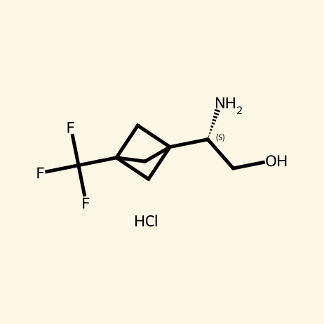 Cl.N[C@H](CO)C12CC(C(F)(F)F)(C1)C2